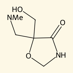 CNCC1(CO)OCNC1=O